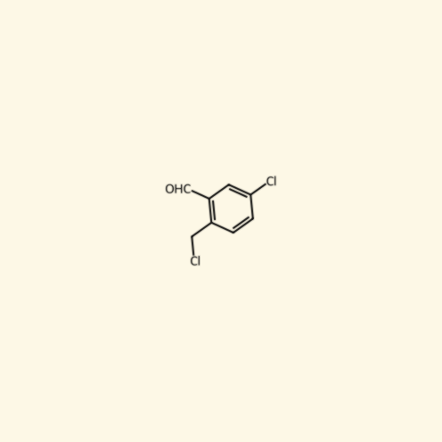 O=Cc1cc(Cl)ccc1CCl